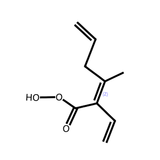 C=CC/C(C)=C(/C=C)C(=O)OO